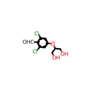 O=Cc1c(Cl)cc(OC(CO)CO)cc1Cl